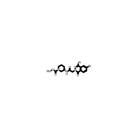 CC(C)c1nn(CC(=O)N[C@@H]2CCCN(C(=O)OC(C)(C)C)C2)c(=O)c2ccc(Br)cc12